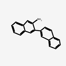 Nc1cc2ccccc2cc1-c1ccc2ccccc2c1